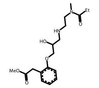 CCC(=O)N(C)CCNCC(O)COc1ccccc1CC(=O)OC